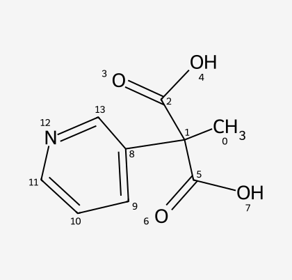 CC(C(=O)O)(C(=O)O)c1cccnc1